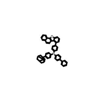 c1ccc(-c2ccc(N(c3ccc(-c4cccc5oc6c7ccccc7ccc6c45)cc3)c3ccc(C45CC6CC(CC(C6)C4)C5)cc3)cc2)cc1